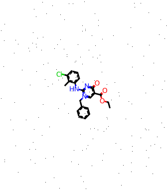 CCOC(=O)c1cn(Cc2ccccc2)c(Nc2cccc(Cl)c2C)nc1=O